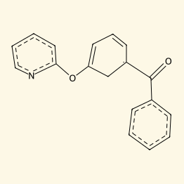 O=C([C]1C=CC=C(Oc2ccccn2)C1)c1ccccc1